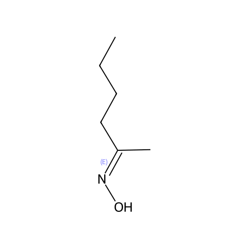 CCCC/C(C)=N/O